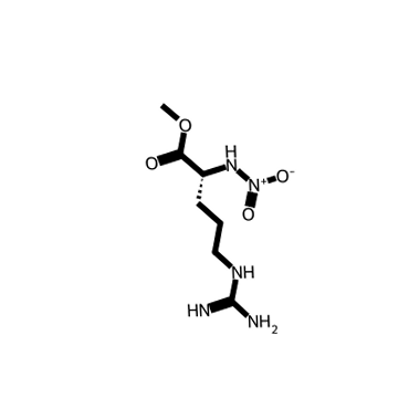 COC(=O)[C@@H](CCCNC(=N)N)N[N+](=O)[O-]